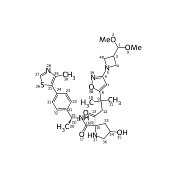 COC(OC)C1CN(c2cc(C(C)(C)CC(=O)[C@]3(C(=O)N[C@@H](C)c4ccc(-c5scnc5C)cc4)CC(O)CN3)on2)C1